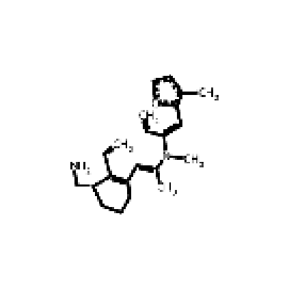 C=CC1=C(/C=C(\C)N(C)/C(C=C)=C/c2occc2C)CCC[C@H]1CN